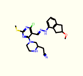 COC1Cc2cccc(N/N=C/c3c(Cl)nc(SC)nc3N3CCNC(CC#N)C3)c2C1